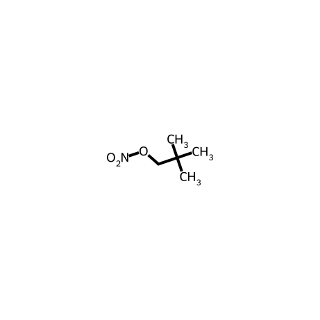 CC(C)(C)CO[N+](=O)[O-]